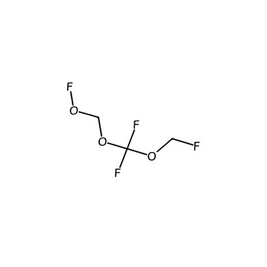 FCOC(F)(F)OCOF